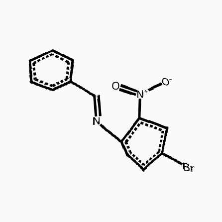 O=[N+]([O-])c1cc(Br)ccc1N=Cc1ccccc1